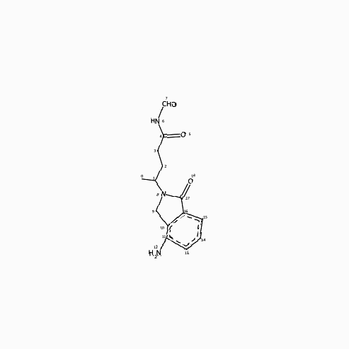 CC(CCC(=O)NC=O)N1Cc2c(N)cccc2C1=O